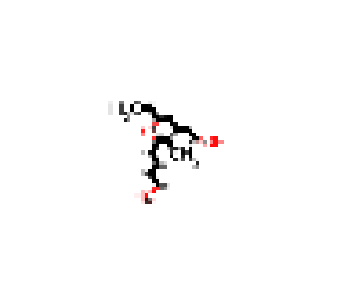 C=CC(CCCCO)OC(C=C)CCCCO